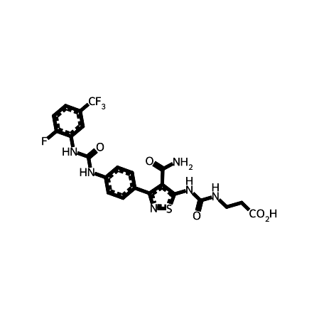 NC(=O)c1c(-c2ccc(NC(=O)Nc3cc(C(F)(F)F)ccc3F)cc2)nsc1NC(=O)NCCC(=O)O